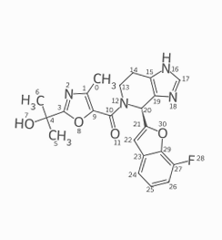 Cc1nc(C(C)(C)O)oc1C(=O)N1CCc2[nH]cnc2[C@H]1c1cc2cccc(F)c2o1